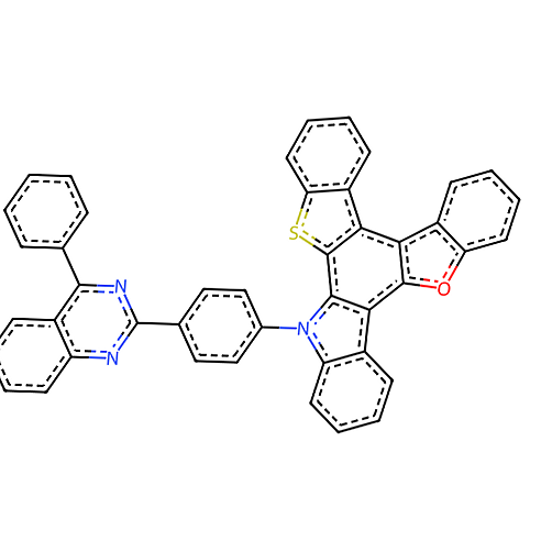 c1ccc(-c2nc(-c3ccc(-n4c5ccccc5c5c6oc7ccccc7c6c6c7ccccc7sc6c54)cc3)nc3ccccc23)cc1